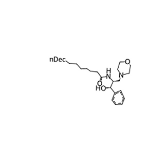 CCCCCCCCCCCCCCCCC(=O)N[C@@H](CN1CCOCC1)[C@H](O)c1ccccc1